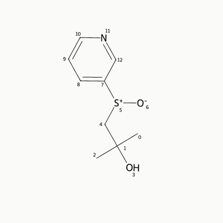 CC(C)(O)C[S+]([O-])c1cccnc1